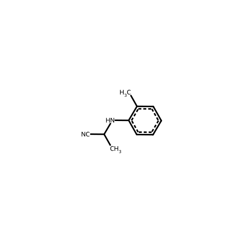 Cc1ccccc1NC(C)C#N